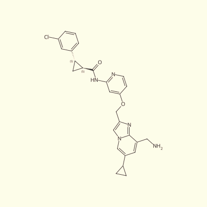 NCc1cc(C2CC2)cn2cc(COc3ccnc(NC(=O)[C@H]4C[C@@H]4c4cccc(Cl)c4)c3)nc12